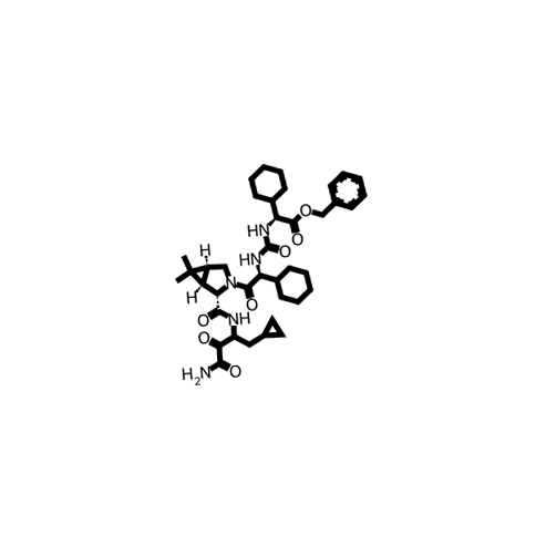 CC1(C)[C@@H]2[C@@H](C(=O)NC(CC3CC3)C(=O)C(N)=O)N(C(=O)[C@@H](NC(=O)N[C@H](C(=O)OCc3ccccc3)C3CCCCC3)C3CCCCC3)C[C@@H]21